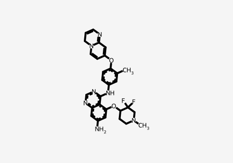 Cc1cc(Nc2ncnc3cc(N)cc(OC4CCN(C)CC4(F)F)c23)ccc1OC1=CC2=NC=CCN2C=C1